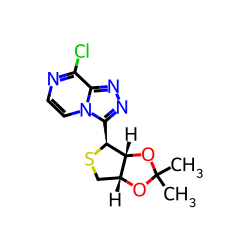 CC1(C)O[C@@H]2[C@@H](CS[C@H]2c2nnc3c(Cl)nccn23)O1